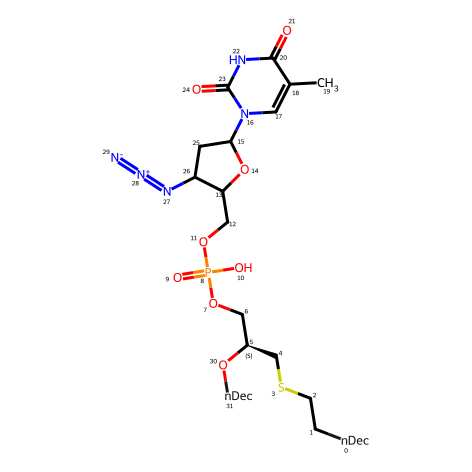 CCCCCCCCCCCCSC[C@H](COP(=O)(O)OCC1OC(n2cc(C)c(=O)[nH]c2=O)CC1N=[N+]=[N-])OCCCCCCCCCC